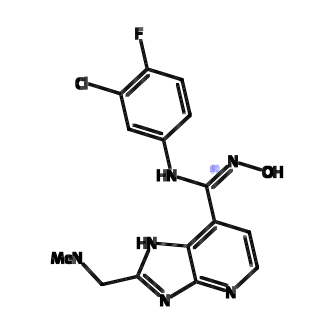 CNCc1nc2nccc(/C(=N\O)Nc3ccc(F)c(Cl)c3)c2[nH]1